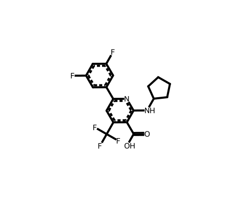 O=C(O)c1c(C(F)(F)F)cc(-c2cc(F)cc(F)c2)nc1NC1CCCC1